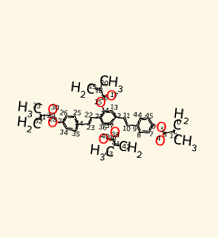 C=C(C)C(=O)Oc1ccc(/C=C/c2cc(OC(=O)C(=C)C)c(/C=C/c3ccc(OC(=O)C(=C)C)cc3)cc2OC(=O)C(=C)C)cc1